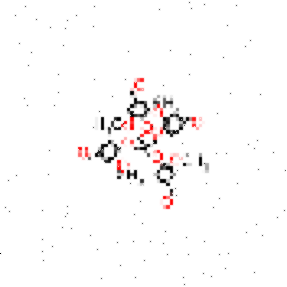 COc1cc(C=O)ccc1OCC(COc1ccc(C=O)cc1OC)(COc1ccc(C=O)cc1OC)COc1ccc(C=O)cc1OC